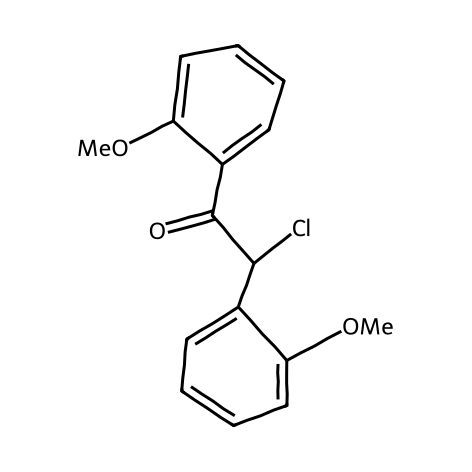 COc1ccccc1C(=O)C(Cl)c1ccccc1OC